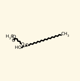 CCCCCCCCCCCCCCCCCCCCOC[C@H](CO)OCCCCC(=O)OC